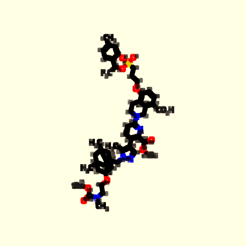 Cc1ccc(C(OS(=O)(=O)CCCOc2ccc(C(=O)O)c3c2CCN(c2ccc(-c4cnn(CC56CC7(C)CC(C)(C5)CC(OCCN(C)C(=O)OC(C)(C)C)(C7)C6)c4C)c(C(=O)OC(C)(C)C)n2)C3)C(F)(F)F)cc1